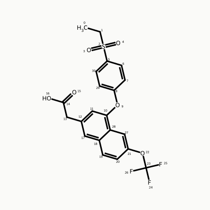 CCS(=O)(=O)c1ccc(Oc2cc(CC(=O)O)cc3ccc(OC(F)(F)F)cc23)cc1